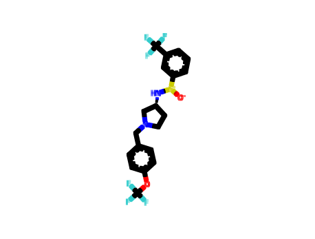 [O-][S+](N[C@@H]1CCN(Cc2ccc(OC(F)(F)F)cc2)C1)c1cccc(C(F)(F)F)c1